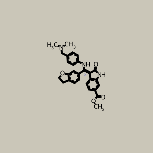 COC(=O)c1ccc2c(c1)NC(=O)/C2=C(\Nc1ccc(CN(C)C)cc1)c1ccc2c(c1)OCC2